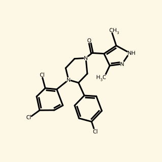 Cc1n[nH]c(C)c1C(=O)N1CCN(c2ccc(Cl)cc2Cl)C(c2ccc(Cl)cc2)C1